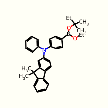 CCOB(OC(C)(C)CC)c1ccc(N(c2ccccc2)c2ccc3c(c2)C(C)(C)c2ccccc2-3)cc1